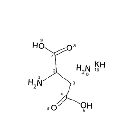 N.NC(CC(=O)O)C(=O)O.[KH]